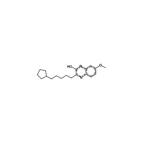 COc1ccc2nc(CCCCCC3CCCC3)c(O)nc2c1